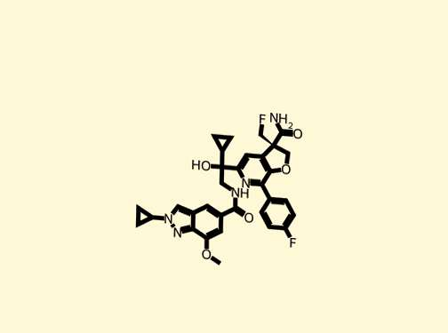 COc1cc(C(=O)NCC(O)(c2cc3c(c(-c4ccc(F)cc4)n2)OC[C@@]3(CF)C(N)=O)C2CC2)cc2cn(C3CC3)nc12